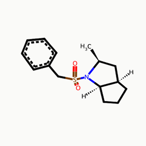 C[C@H]1C[C@H]2CCC[C@H]2N1S(=O)(=O)Cc1ccccc1